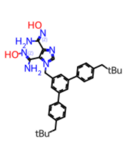 CC(C)(C)Cc1ccc(-c2cc(Cn3cnc(/C(N)=N/O)c3/C(N)=N/O)cc(-c3ccc(CC(C)(C)C)cc3)c2)cc1